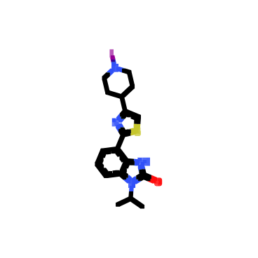 CC(C)n1c(=O)[nH]c2c(-c3nc(C4CCN(I)CC4)cs3)cccc21